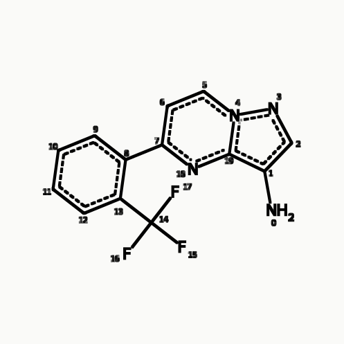 Nc1cnn2ccc(-c3ccccc3C(F)(F)F)nc12